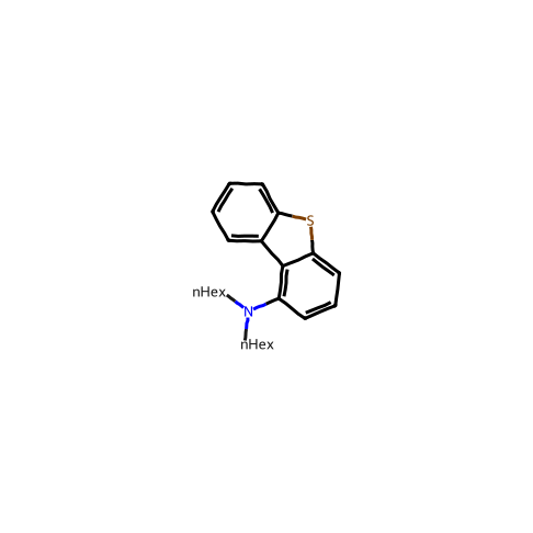 CCCCCCN(CCCCCC)c1cccc2sc3ccccc3c12